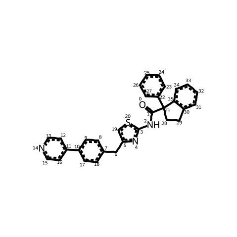 O=C(Nc1nc(Cc2ccc(-c3ccncc3)cc2)cs1)C1(c2ccccc2)CCc2ccccc21